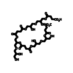 O=C(O)CCC(=O)OCC(O)COCC(O)COC(=O)CCC(=O)OCC(COCC(O)CO)OC(=O)CCC(=O)OCC(O)COCC(CO)OC(=O)CCC(=O)O